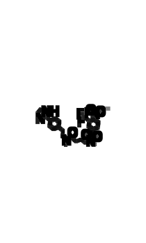 CN(CCc1ccc(C2=NCCN2)cc1)C(=O)CCCN(C)S(=O)(=O)c1ccc([N+](=O)[O-])c(C(F)(F)F)c1